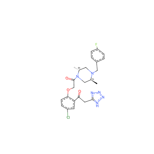 C[C@@H]1CN(Cc2ccc(F)cc2)[C@@H](C)CN1C(=O)COc1ccc(Cl)cc1C(=O)Cc1nnn[nH]1